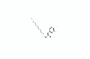 CNCCCCCCCCN(C)C(=O)c1cc2cc(F)c(O)c(F)c2oc1=O